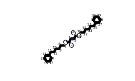 O=C(/C=C/C(=O)OCCCCCCc1ccccc1)OCCCCCCc1ccccc1